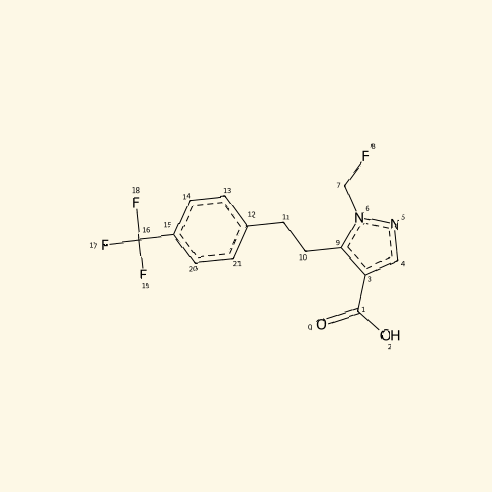 O=C(O)c1cnn(CF)c1CCc1ccc(C(F)(F)F)cc1